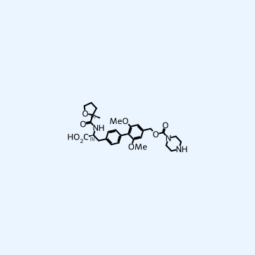 COc1cc(COC(=O)N2CCNCC2)cc(OC)c1-c1ccc(C[C@H](NC(=O)[C@@]2(C)CCCO2)C(=O)O)cc1